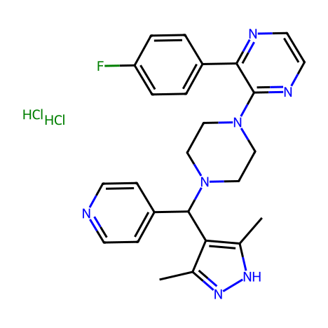 Cc1n[nH]c(C)c1C(c1ccncc1)N1CCN(c2nccnc2-c2ccc(F)cc2)CC1.Cl.Cl